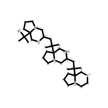 CCC(C)(C)C12CCCN1CC(CC(C)(C)C13CCCN1CC(CC(C)(C)C14CCCN1CCSC4)NC3)OC2